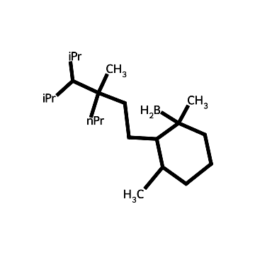 BC1(C)CCCC(C)C1CCC(C)(CCC)C(C(C)C)C(C)C